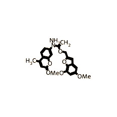 C=C(OCc1cc2cc(OC)cc(OC)c2o1)N(N)c1ccc2c(C)cc(=O)oc2c1